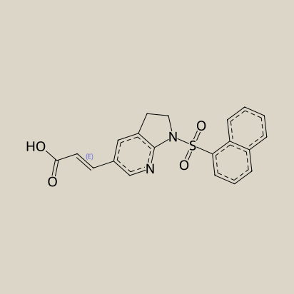 O=C(O)/C=C/c1cnc2c(c1)CCN2S(=O)(=O)c1cccc2ccccc12